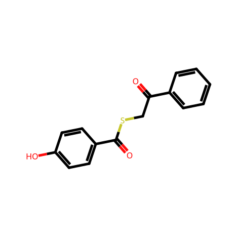 O=C(CSC(=O)c1ccc(O)cc1)c1ccccc1